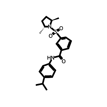 CC(C)c1ccc(NC(=O)c2cccc(S(=O)(=O)N3[C@H](C)CC[C@H]3C)c2)cc1